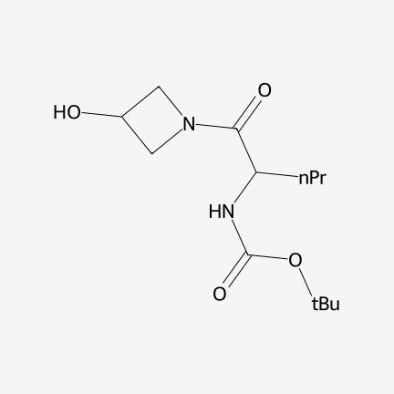 CCCC(NC(=O)OC(C)(C)C)C(=O)N1CC(O)C1